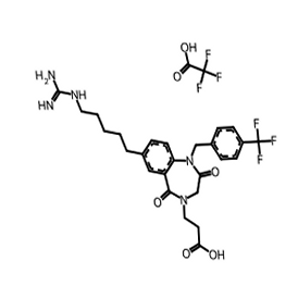 N=C(N)NCCCCCc1ccc2c(c1)C(=O)N(CCC(=O)O)CC(=O)N2Cc1ccc(C(F)(F)F)cc1.O=C(O)C(F)(F)F